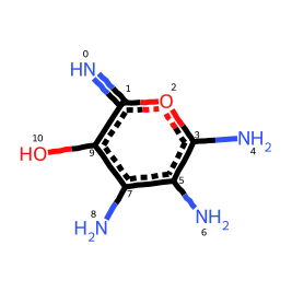 N=c1oc(N)c(N)c(N)c1O